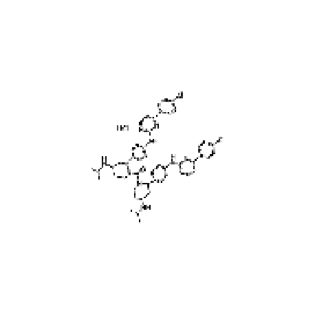 CC(C)NC1CCN(C(=O)N2CCC(NC(C)C)CC2c2ccc(Nc3nccc(-c4ccc(Cl)cc4)n3)cc2)C(c2ccc(Nc3nccc(-c4ccc(Cl)cc4)n3)cc2)C1.Cl